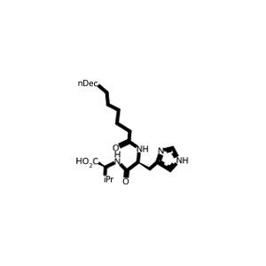 CCCCCCCCCCCCCCCC(=O)N[C@@H](Cc1c[nH]cn1)C(=O)N[C@H](C(=O)O)C(C)C